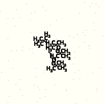 CC(C)(C)CCCCCCOOC(C)(C)C.CC(C)(C)OOC(C)(C)C